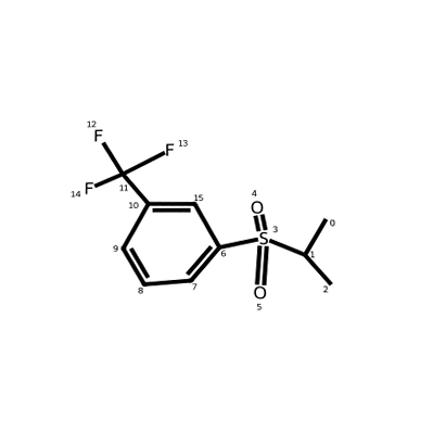 CC(C)S(=O)(=O)c1cccc(C(F)(F)F)c1